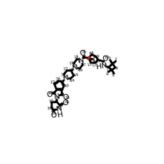 CC1(C)CC(C)(C)C1NC(=O)C12CCC(C(=O)N3CCN(C4CCN(c5ccc6c(c5)C(=O)N(C5CCC(=O)NC5=O)C6=O)CC4)CC3)(CC1)CC2